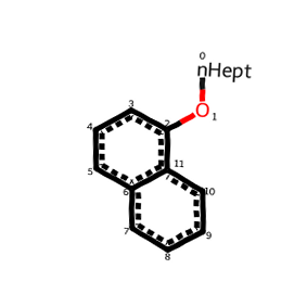 [CH2]CCCCCCOc1cccc2ccccc12